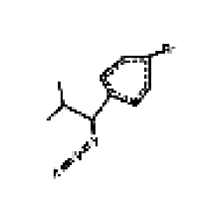 CC(C)C(N=[N+]=[N-])c1ccc(Br)cc1